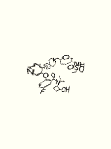 CCS(=O)(=O)N[C@@H]1CC[C@@H](CN2CCC3(CC2)CN(c2ncncc2Oc2ccc(F)cc2C(=O)N(C(C)C)[C@H]2CC[C@@H]2O)C3)OC1